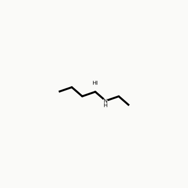 CCCCNCC.I